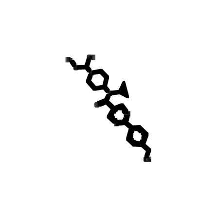 CC(C)OC(O)N1CCC(N(C(=O)c2cnc(-c3ccc(CC#N)cc3)nc2)C2CC2)CC1